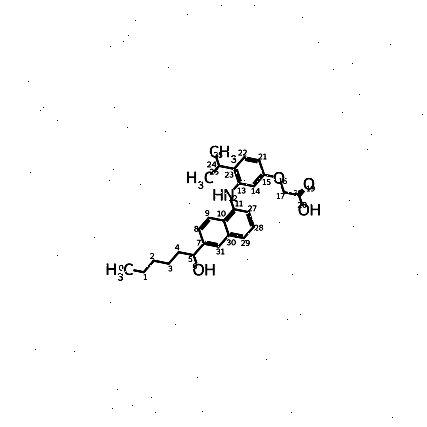 CCCCCC(O)c1ccc2c(Nc3cc(OCC(=O)O)ccc3C(C)C)cccc2c1